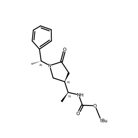 C[C@H](NC(=O)OC(C)(C)C)[C@@H]1CC(=O)N([C@H](C)c2ccccc2)C1